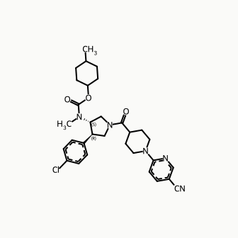 CC1CCC(OC(=O)N(C)[C@@H]2CN(C(=O)C3CCN(c4ccc(C#N)cn4)CC3)C[C@H]2c2ccc(Cl)cc2)CC1